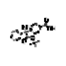 CC(C)(C)OC(=O)C(N)(c1ccccc1)c1ccc(C(=O)O)cc1